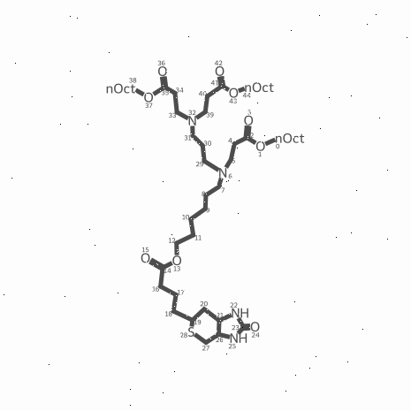 CCCCCCCCOC(=O)CCN(CCCCCCOC(=O)CCCC1CC2NC(=O)NC2CS1)CCCN(CCC(=O)OCCCCCCCC)CCC(=O)OCCCCCCCC